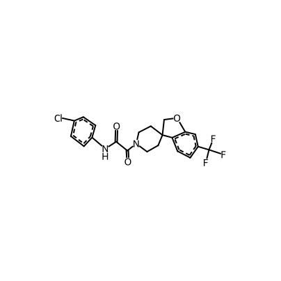 O=C(Nc1ccc(Cl)cc1)C(=O)N1CCC2(CC1)COc1cc(C(F)(F)F)ccc12